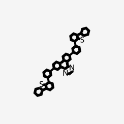 c1cc(-c2ccc3c4ccc(-c5cccc(-c6cccc7c6sc6ccccc67)c5)cc4c4nccnc4c3c2)cc(-c2cccc3c2sc2ccccc23)c1